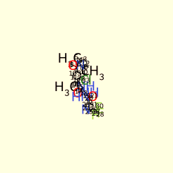 C[C@@H]1CC[C@H](C)N1C(=O)c1ccc([C@@H](C)NC(=O)NNC(=O)c2cncc(C(F)(F)F)c2)c(Cl)c1